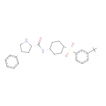 O=C(N[C@H]1CC[C@](F)(S(=O)(=O)c2cccc(C(F)(F)F)c2)CC1)[C@@H]1C[C@H](c2ccccc2)CN1